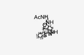 CC(=O)NCCNC(=O)c1ccc2[nH]nc(-c3cc4ccccc4s3)c2c1F